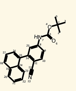 CC(C)(C)OC(=O)Nc1ccc(C#N)c(-c2cccc3ccccc23)c1